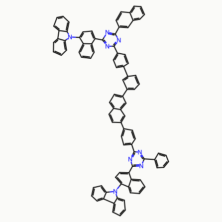 c1ccc(-c2nc(-c3ccc(-c4ccc5ccc(-c6cccc(-c7ccc(-c8nc(-c9ccc%10ccccc%10c9)nc(-c9ccc(-n%10c%11ccccc%11c%11ccccc%11%10)c%10ccccc9%10)n8)cc7)c6)cc5c4)cc3)nc(-c3ccc(-n4c5ccccc5c5ccccc54)c4ccccc34)n2)cc1